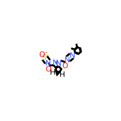 Cc1cccc(N2CCN(C(=O)Cn3nc(C(=O)N4CC[S+]([O-])CC4)c4c3C[C@H]3C[C@@H]43)CC2)c1C